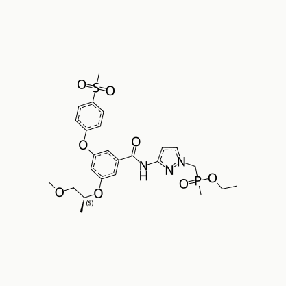 CCOP(C)(=O)Cn1ccc(NC(=O)c2cc(Oc3ccc(S(C)(=O)=O)cc3)cc(O[C@@H](C)COC)c2)n1